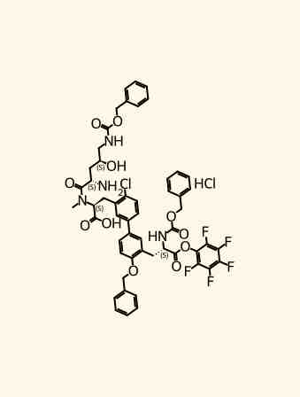 CN(C(=O)[C@@H](N)C[C@H](O)CNC(=O)OCc1ccccc1)[C@@H](Cc1cc(-c2ccc(OCc3ccccc3)c(C[C@H](NC(=O)OCc3ccccc3)C(=O)Oc3c(F)c(F)c(F)c(F)c3F)c2)ccc1Cl)C(=O)O.Cl